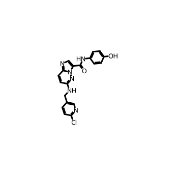 O=C(Nc1ccc(O)cc1)c1cnc2ccc(NCc3ccc(Cl)nc3)nn12